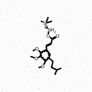 COc1c(C=CC(=O)O[SiH2]O[Si](C)(C)C)cc(CCC(C)C)c(OC)c1OC